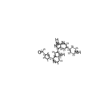 CC(=O)c1ccc(-c2nccc3[nH]c(-c4n[nH]c5ncc(C6=CCNCC6)cc45)cc23)s1